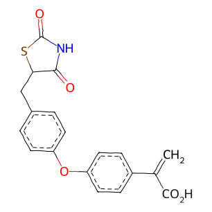 C=C(C(=O)O)c1ccc(Oc2ccc(CC3SC(=O)NC3=O)cc2)cc1